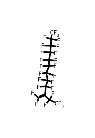 FC(F)=C(C(F)(F)C(F)(F)F)C(F)(F)C(F)(F)C(F)(F)C(F)(F)C(F)(F)C(F)(F)C(F)(F)C(F)(F)C(F)(F)F